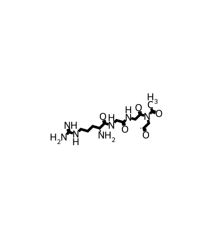 CC(=O)N(C[C]=O)C(=O)CNC(=O)CNC(=O)[C@H](N)CCCNC(=N)N